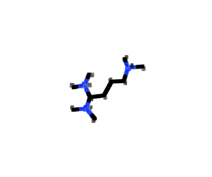 CN(C)CCCC(N(C)C)N(C)C